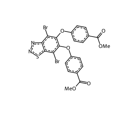 COC(=O)c1ccc(Oc2c(Oc3ccc(C(=O)OC)cc3)c(Br)c3snnc3c2Br)cc1